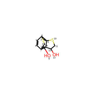 OC1CSc2ccc1c1c2SCC1O